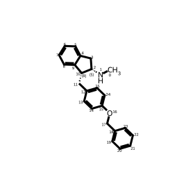 CN[C@H]1Cc2ccccc2[C@H]1Cc1ccc(OCc2ccccc2)cc1